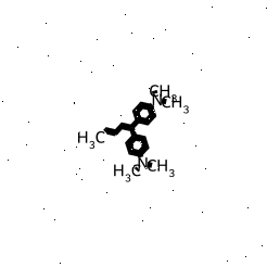 CC=CC=C(c1ccc(N(C)C)cc1)c1ccc(N(C)C)cc1